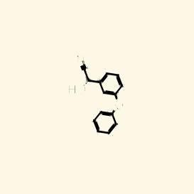 N#C[C@H](O)c1cccc(Oc2ccccc2)c1